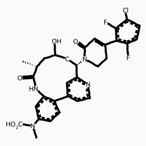 C[C@@H]1CC(O)C[C@H](N2CCC(c3c(F)ccc(Cl)c3F)=CC2=O)c2cc(ccn2)-c2ccc(N(C)C(=O)O)cc2NC1=O